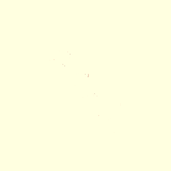 CCCC(O)C(CNCc1ccc(C)cc1C)NC(=O)Cc1nc2c(C(F)(F)F)cccc2[nH]1